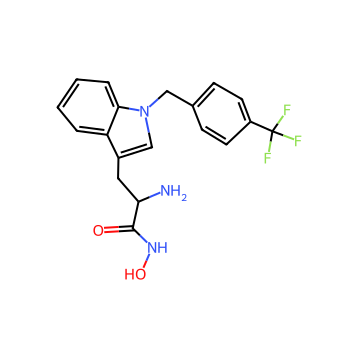 NC(Cc1cn(Cc2ccc(C(F)(F)F)cc2)c2ccccc12)C(=O)NO